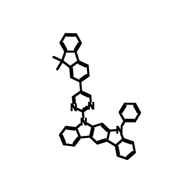 CC1(C)c2ccccc2-c2ccc(-c3cnc(-n4c5ccccc5c5cc6c7ccccc7n(-c7ccccc7)c6cc54)nc3)cc21